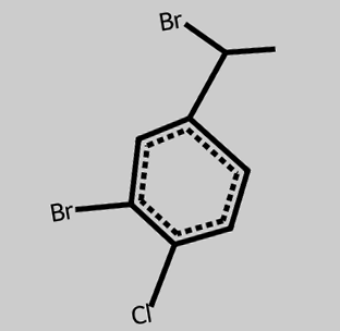 CC(Br)c1ccc(Cl)c(Br)c1